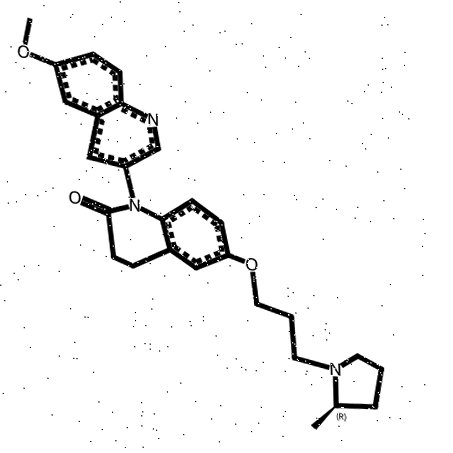 COc1ccc2ncc(N3C(=O)CCc4cc(OCCCN5CCC[C@H]5C)ccc43)cc2c1